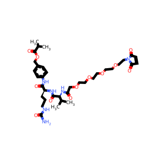 CC(C)C(=O)OCc1ccc(NC(=O)[C@H](CCCNC(N)=O)NC(=O)[C@@H](NC(=O)COCCOCCOCCOCCN2C(=O)C=CC2=O)C(C)C)cc1